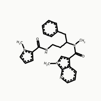 CN(C(=O)c1cn(C)c2ncccc12)C(CCNC(=O)c1cccn1C)Cc1ccccc1